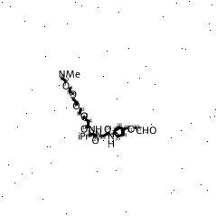 CNCCOCCOCCOCCOCCC(=O)NC(C(=O)NCC(=O)Nc1ccc(COCC=O)cc1)C(C)C